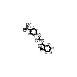 O=C(Oc1ccc([N+](=O)[O-])cc1)Oc1occ2ccccc12